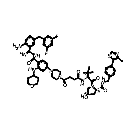 Cc1ncsc1-c1ccc(CNC(=O)[C@@H]2C[C@@H](O)CN2C(=O)[C@@H](NC(=O)CCC(=O)N2CCN(c3ccc(C(=O)NC(=N)c4cc(Cc5cc(F)cc(F)c5)ccc4N)c(NC4CCOCC4)c3)CC2)C(C)(C)C)cc1